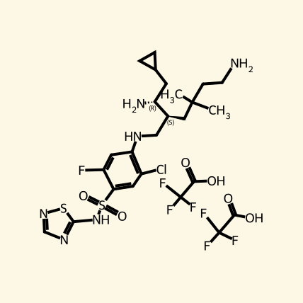 CC(C)(CCN)C[C@@H](CNc1cc(F)c(S(=O)(=O)Nc2ncns2)cc1Cl)[C@H](N)CC1CC1.O=C(O)C(F)(F)F.O=C(O)C(F)(F)F